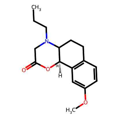 CCCN1CC(=O)O[C@@H]2c3cc(OC)ccc3CCC21